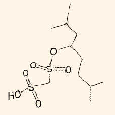 CC(C)CCC(CC(C)C)OS(=O)(=O)CS(=O)(=O)O